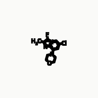 Cc1nc2c(N3CCOCC3)cc(Cl)cn2c1F